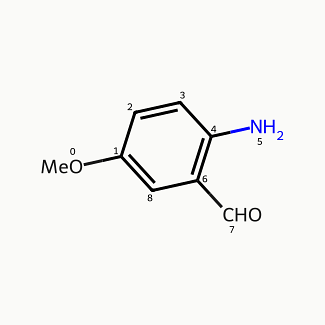 COc1ccc(N)c(C=O)c1